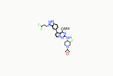 COc1nc(N[C@@H]2CCN(C3COC3)C[C@@H]2F)nn2ccc(-c3ccc4nnn(CCC(F)F)c4c3)c12